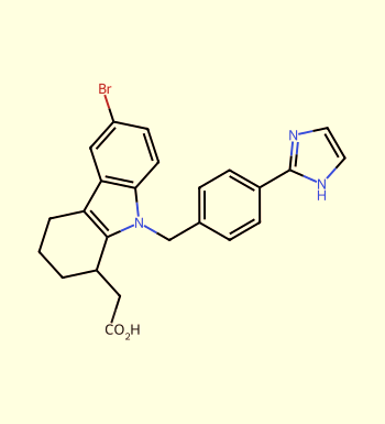 O=C(O)CC1CCCc2c1n(Cc1ccc(-c3ncc[nH]3)cc1)c1ccc(Br)cc21